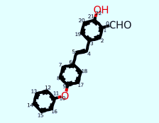 O=Cc1cc(C=Cc2ccc(Oc3ccccc3)cc2)ccc1O